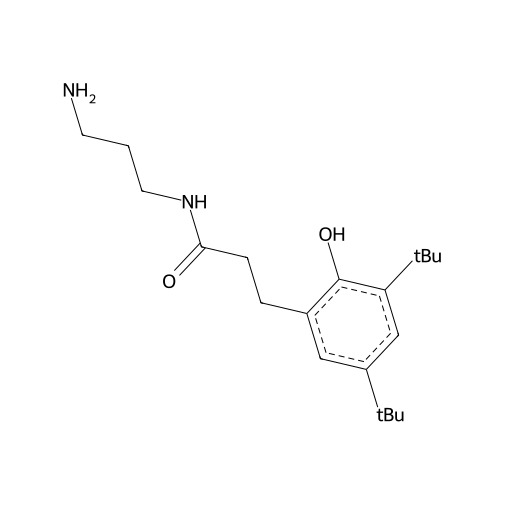 CC(C)(C)c1cc(CCC(=O)NCCCN)c(O)c(C(C)(C)C)c1